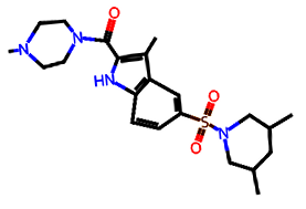 Cc1c(C(=O)N2CCN(C)CC2)[nH]c2ccc(S(=O)(=O)N3CC(C)CC(C)C3)cc12